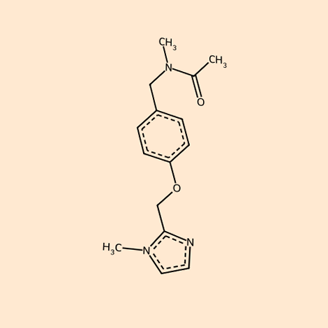 CC(=O)N(C)Cc1ccc(OCc2nccn2C)cc1